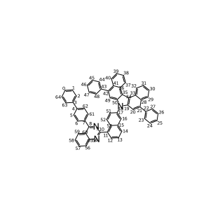 c1ccc(-c2ccc(-c3nc(-c4cccc5cc(-n6c7cc(-c8ccccc8)c8ccccc8c7c7c8ccccc8c(-c8ccccc8)cc76)ccc45)nc4ccccc34)cc2)cc1